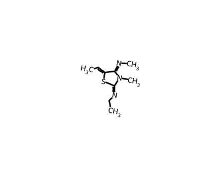 C/C=C1\S/C(=N\CC)N(C)\C1=N/C